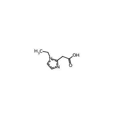 CCn1ccnc1CC(=O)O